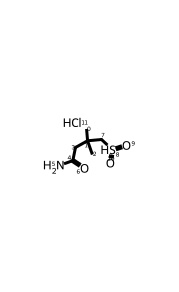 CC(C)(CC(N)=O)C[SH](=O)=O.Cl